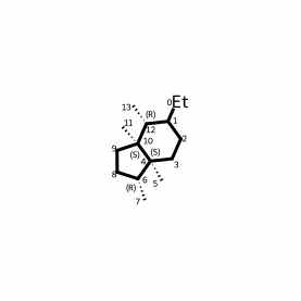 CCC1CC[C@@]2(C)[C@H](C)CC[C@@]2(C)[C@@H]1C